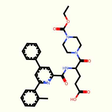 CCOC(=O)N1CCN(C(=O)C(CCC(=O)O)NC(=O)c2cc(-c3ccccc3)cc(-c3ccccc3C)n2)CC1